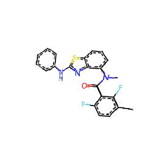 Cc1ccc(F)c(C(=O)N(C)c2cccc3sc(Nc4ccccc4)nc23)c1F